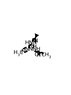 CCc1cc(CNc2nc(Nc3cc(C4CC4)n[nH]3)cc(N3CCN(C)CC3)n2)on1